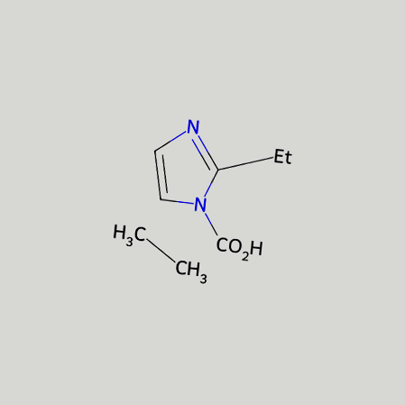 CC.CCc1nccn1C(=O)O